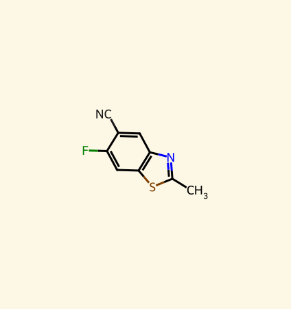 Cc1nc2cc(C#N)c(F)cc2s1